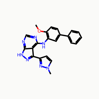 COc1ccc(-c2ccccc2)cc1Nc1ncnc2[nH]nc(-c3ccn(C)n3)c12